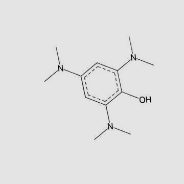 CN(C)c1cc(N(C)C)c(O)c(N(C)C)c1